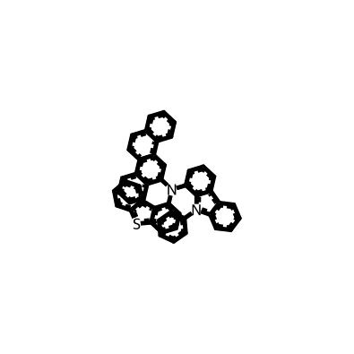 c1ccc(-n2c3ccccc3c3cccc(N(c4cc5c6ccccc6ccc5c5ccccc45)c4cccc5sc6ccccc6c45)c32)cc1